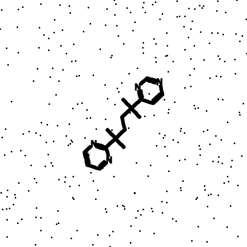 CC(C)(CCC(C)(C)c1ncccn1)c1ccncn1